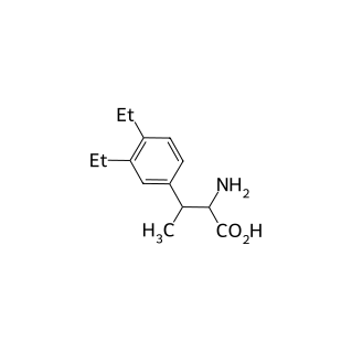 CCc1ccc(C(C)C(N)C(=O)O)cc1CC